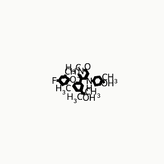 Cc1cc(F)cc(C)c1Oc1ccc(C(C)(C)O)cc1-c1cn(C)c(=O)cc1NC1CCC(C)(O)CC1